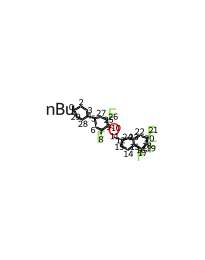 CCCCc1ccc(-c2cc(F)c(OCc3ccc4c(F)c(F)c(F)cc4c3)c(F)c2)cc1